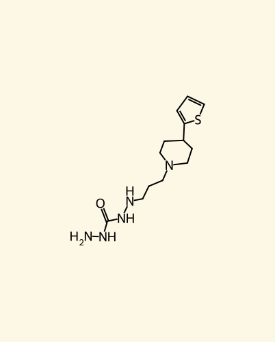 NNC(=O)NNCCCN1CCC(c2cccs2)CC1